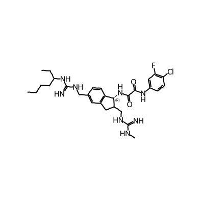 CCCCC(CC)NC(=N)NCc1ccc2c(c1)CC(CNC(=N)NC)[C@H]2NC(=O)C(=O)Nc1ccc(Cl)c(F)c1